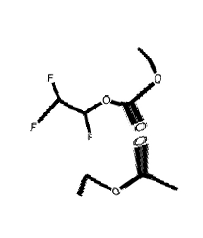 CCOC(C)=O.COC(=O)OC(F)C(F)F